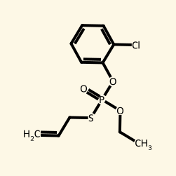 C=CCSP(=O)(OCC)Oc1ccccc1Cl